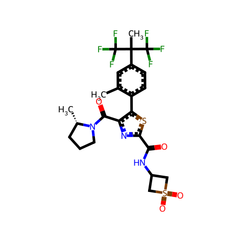 Cc1cc(C(C)(C(F)(F)F)C(F)(F)F)ccc1-c1sc(C(=O)NC2CS(=O)(=O)C2)nc1C(=O)N1CCC[C@@H]1C